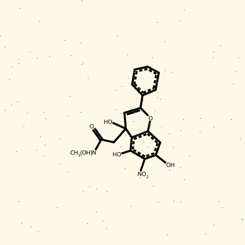 CN(O)C(=O)CC1(O)C=C(c2ccccc2)Oc2cc(O)c([N+](=O)[O-])c(O)c21